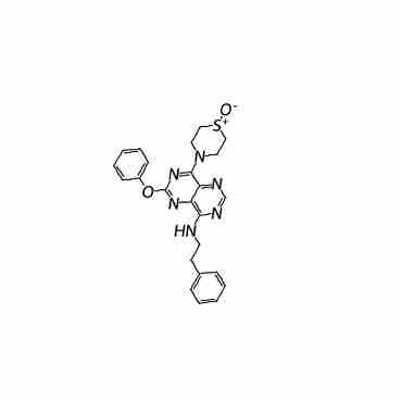 [O-][S+]1CCN(c2nc(Oc3ccccc3)nc3c(NCCc4ccccc4)ncnc23)CC1